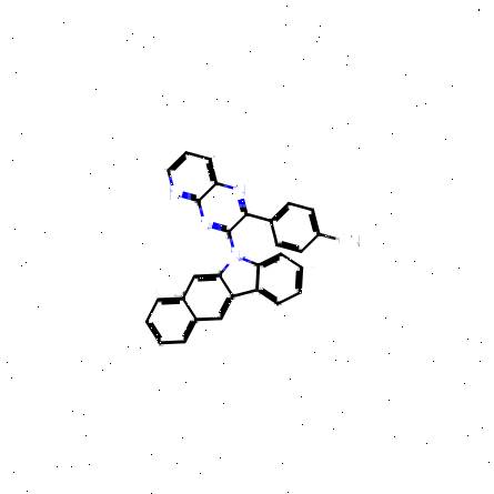 N#Cc1ccc(-c2nc3cccnc3nc2-n2c3ccccc3c3cc4ccccc4cc32)cc1